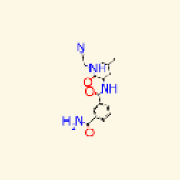 CC(C)CC(NC(=O)c1cccc(C(N)=O)c1)C(=O)NCC#N